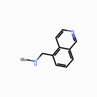 CC(C)(C)NCc1cccc2cnccc12